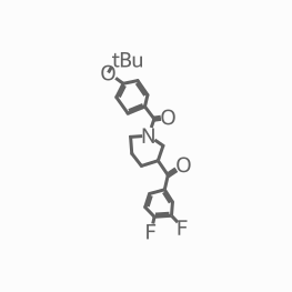 CC(C)(C)Oc1ccc(C(=O)N2CCCC(C(=O)c3ccc(F)c(F)c3)C2)cc1